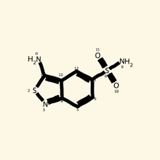 Nc1snc2ccc(S(N)(=O)=O)cc12